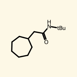 CC(C)(C)NC(=O)CC1CCCCCC1